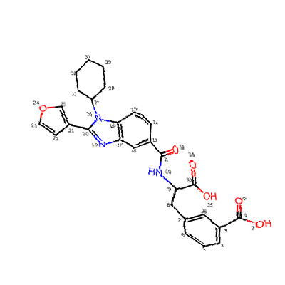 O=C(O)c1cccc(CC(NC(=O)c2ccc3c(c2)nc(-c2ccoc2)n3C2CCCCC2)C(=O)O)c1